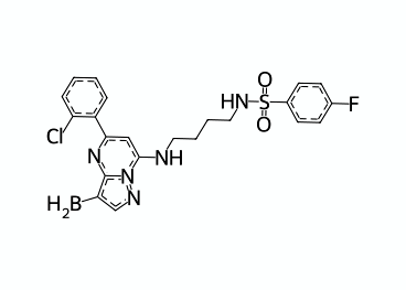 Bc1cnn2c(NCCCCNS(=O)(=O)c3ccc(F)cc3)cc(-c3ccccc3Cl)nc12